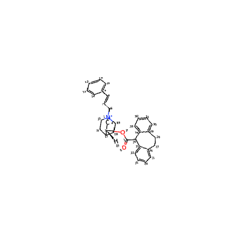 O=C(O[C@H]1C[N+]2(CC=Cc3ccccc3)CCC1CC2)C1c2ccccc2CCc2ccccc21